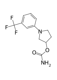 NC(=O)OC1CCN(c2cccc(C(F)(F)F)c2)C1